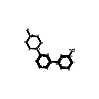 CN1CCN(c2c[c]cc(-c3cccc(Cl)c3)c2)CC1